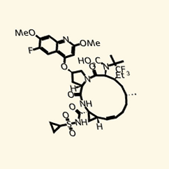 CC[C@@H]1C[C@H](C)CC/C=C\[C@@H]2C[C@@]2(C(=O)NS(=O)(=O)C2CC2)NC(=O)[C@@H]2C[C@@H](Oc3cc(OC)nc4cc(OC)c(F)cc34)CN2C(=O)[C@H]1N(C(=O)O)C(C)(C)C(F)(F)F